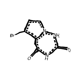 O=c1[nH]c(=O)c2c(Br)ccn2[nH]1